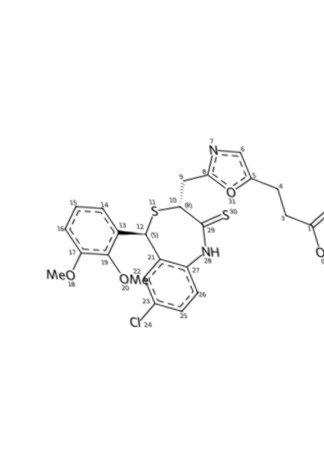 COC(=O)CCc1cnc(C[C@H]2S[C@H](c3cccc(OC)c3OC)c3cc(Cl)ccc3NC2=S)o1